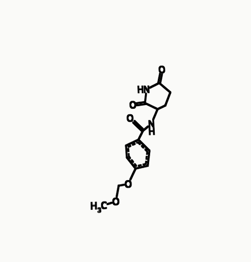 COCOc1ccc(C(=O)NC2CCC(=O)NC2=O)cc1